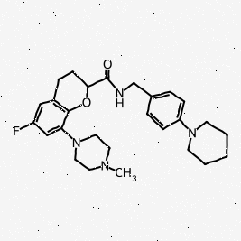 CN1CCN(c2cc(F)cc3c2OC(C(=O)NCc2ccc(N4CCCCC4)cc2)CC3)CC1